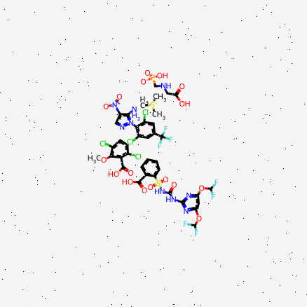 COc1c(Cl)ccc(Cl)c1C(=O)O.C[S+](C)C.Nc1c([N+](=O)[O-])cnn1-c1c(Cl)cc(C(F)(F)F)cc1Cl.O=C(Nc1nc(OC(F)F)cc(OC(F)F)n1)NS(=O)(=O)c1ccccc1C(=O)O.O=C(O)CNCP(=O)([O-])O